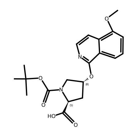 COc1cccc2c(O[C@@H]3C[C@@H](C(=O)O)N(C(=O)OC(C)(C)C)C3)nccc12